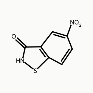 O=c1[nH]sc2ccc([N+](=O)[O-])cc12